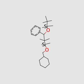 CC(C)(C)[Si](C)(C)OC(c1ccccc1)C(C)(C)[Si](C)(C)OCC1CCCCC1